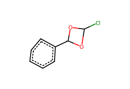 ClC1O[C](c2ccccc2)O1